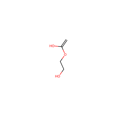 C=C(O)OCCO